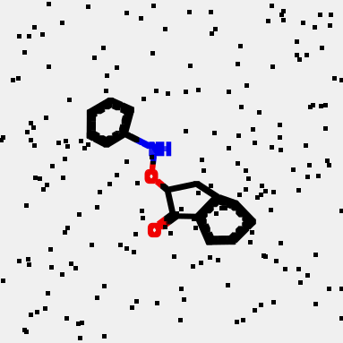 O=C1c2ccccc2CC1ONc1ccccc1